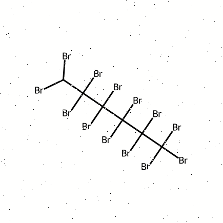 BrC(Br)C(Br)(Br)C(Br)(Br)C(Br)(Br)C(Br)(Br)C(Br)(Br)Br